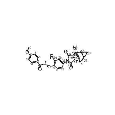 COc1ccc(C(=O)COc2ccc(N3C(=O)C4C5C=C[C@H](C6CC56)C4C3=O)cc2F)cc1